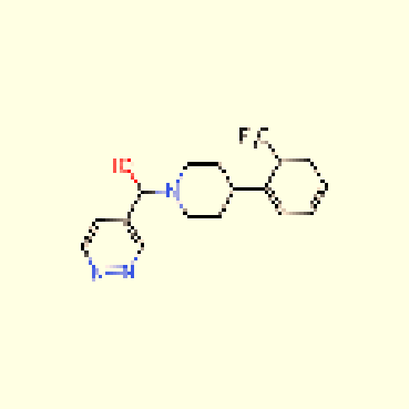 OC(c1ccnnc1)N1CCC(c2ccccc2C(F)(F)F)CC1